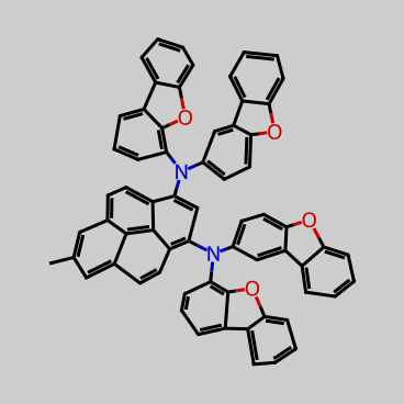 Cc1cc2ccc3c(N(c4ccc5oc6ccccc6c5c4)c4cccc5c4oc4ccccc45)cc(N(c4ccc5oc6ccccc6c5c4)c4cccc5c4oc4ccccc45)c4ccc(c1)c2c34